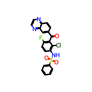 O=C(c1ccc2nccnc2c1)c1c(F)ccc(NS(=O)(=O)c2ccccc2)c1Cl